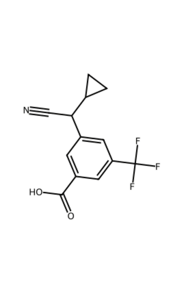 N#CC(c1cc(C(=O)O)cc(C(F)(F)F)c1)C1CC1